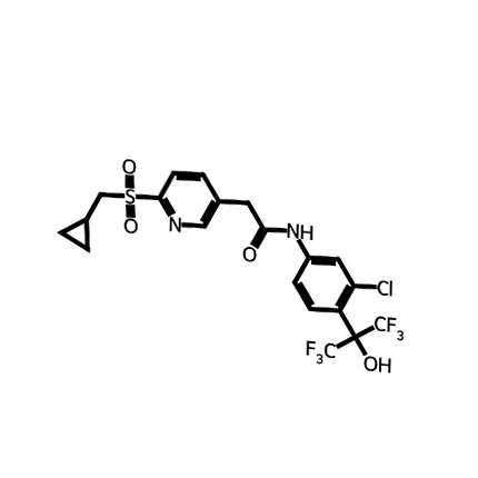 O=C(Cc1ccc(S(=O)(=O)CC2CC2)nc1)Nc1ccc(C(O)(C(F)(F)F)C(F)(F)F)c(Cl)c1